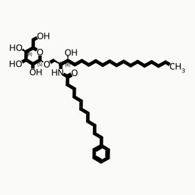 CCCCCCCCCCCCCCC[C@@H](O)[C@H](CO[C@H]1OC(CO)[C@H](O)C(O)C1O)NC(=O)CCCCCCCCCCc1ccccc1